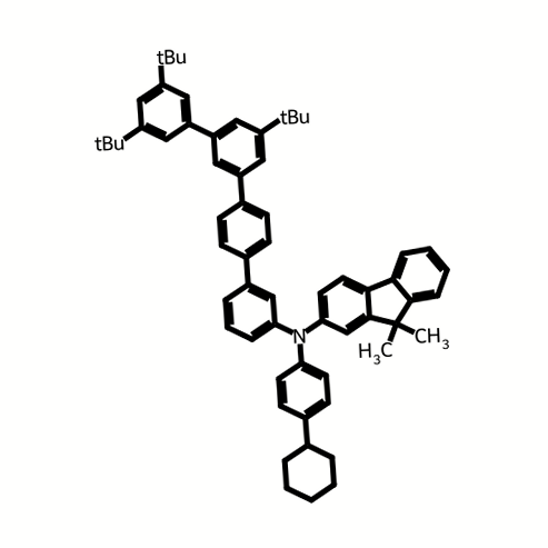 CC(C)(C)c1cc(-c2ccc(-c3cccc(N(c4ccc(C5CCCCC5)cc4)c4ccc5c(c4)C(C)(C)c4ccccc4-5)c3)cc2)cc(-c2cc(C(C)(C)C)cc(C(C)(C)C)c2)c1